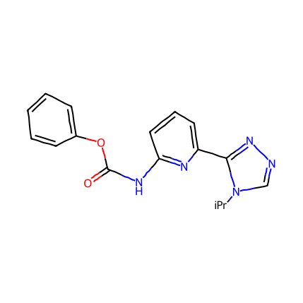 CC(C)n1cnnc1-c1cccc(NC(=O)Oc2ccccc2)n1